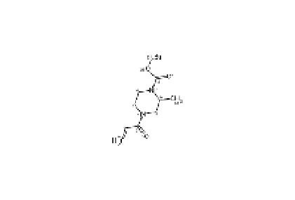 C=CC(=O)N1CCN(C(=O)OC(C)(C)C)[C@@H](C)C1